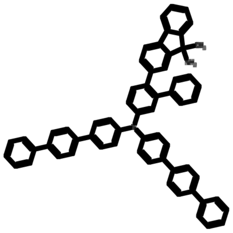 CC1(N)c2ccccc2-c2ccc(-c3ccc(N(c4ccc(-c5ccc(-c6ccccc6)cc5)cc4)c4ccc(-c5ccc(-c6ccccc6)cc5)cc4)cc3-c3ccccc3)cc21